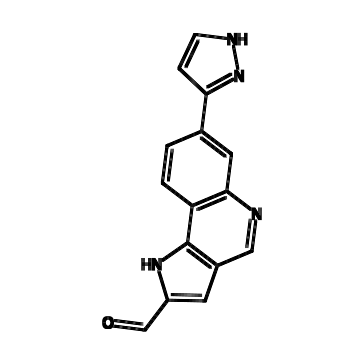 O=Cc1cc2cnc3cc(-c4cc[nH]n4)ccc3c2[nH]1